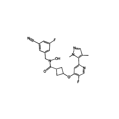 Cc1cnn(C)c1-c1cc(OC2CC(C(=O)N(O)Cc3cc(F)cc(C#N)c3)C2)c(F)cn1